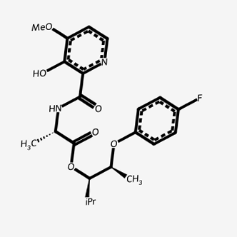 COc1ccnc(C(=O)N[C@@H](C)C(=O)O[C@H](C(C)C)[C@H](C)Oc2ccc(F)cc2)c1O